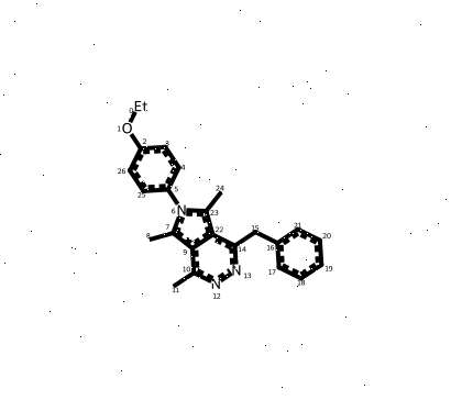 CCOc1ccc(-n2c(C)c3c(C)nnc(Cc4ccccc4)c3c2C)cc1